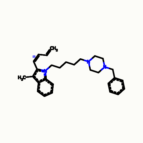 C=C/C=C\c1c(C)c2ccccc2n1CCCCCN1CCN(Cc2ccccc2)CC1